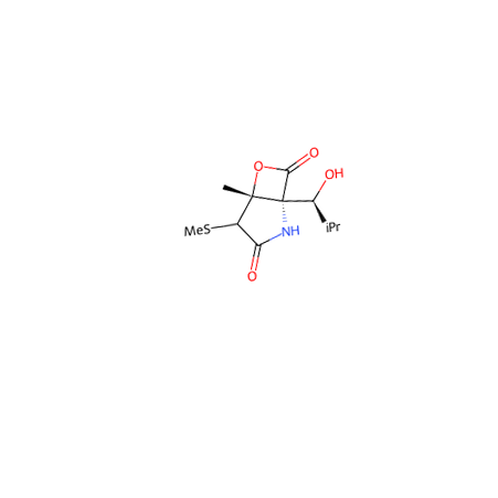 CSC1C(=O)N[C@@]2([C@@H](O)C(C)C)C(=O)O[C@@]12C